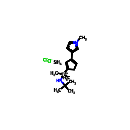 Cn1ccc(C2=CC[C]([Ti+2]([CH3])([CH3])[NH]C(C)(C)C)=C2)c1.[Cl-].[Cl-].[SiH4]